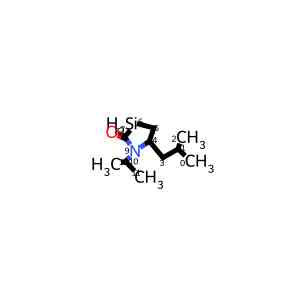 CC(C)CC1C[SiH2]C(=O)N1C(C)C